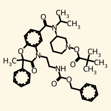 CC(C)N(C(=O)c1ccc2c(c1)N(CCNC(=O)OCc1ccccc1)C(=O)C(C)(c1ccccc1)O2)[C@@H]1CCCN(OC(=O)C(C)(C)C)C1